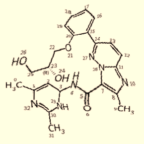 CC1=CC(NC(=O)c2c(C)nc3ccc(-c4ccccc4OC[C@H](O)CO)nn23)NC(C)=N1